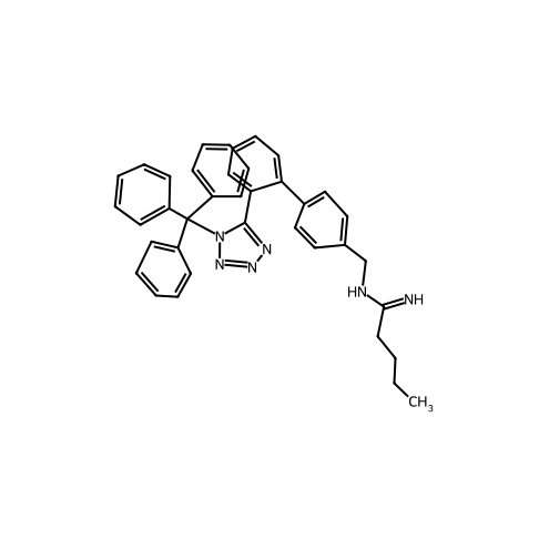 CCCCC(=N)NCc1ccc(-c2ccccc2-c2nnnn2C(c2ccccc2)(c2ccccc2)c2ccccc2)cc1